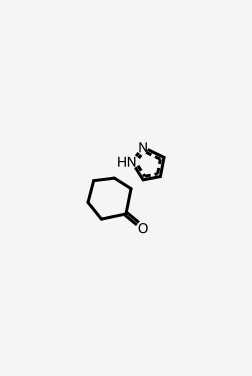 O=C1CCCCC1.c1cn[nH]c1